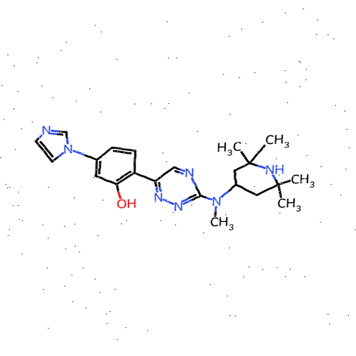 CN(c1ncc(-c2ccc(-n3ccnc3)cc2O)nn1)C1CC(C)(C)NC(C)(C)C1